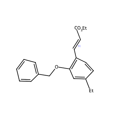 CCOC(=O)/C=C/c1ccc(CC)cc1OCc1ccccc1